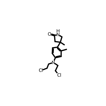 Cc1cc(N(CCCl)CCCl)ccc1C1(C)CNC(=O)C1